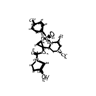 CCC1C[S+]([O-])CC(C2(OC(=O)N3CCC(O)C3)CC2)N1S(=O)(=O)c1ccc(Cl)cc1